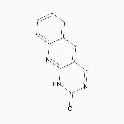 O=c1ncc2cc3ccccc3nc2[nH]1